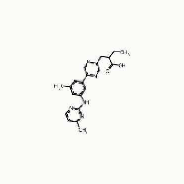 CCC(Cc1cnc(-c2cc(C)cc(Nc3nccc(C)n3)c2)cn1)C(=O)O